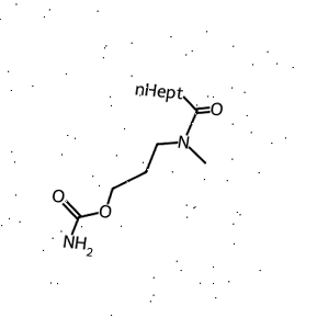 CCCCCCCC(=O)N(C)CCCOC(N)=O